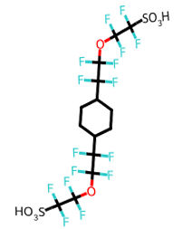 O=S(=O)(O)C(F)(F)C(F)(F)OC(F)(F)C(F)(F)C1CCC(C(F)(F)C(F)(F)OC(F)(F)C(F)(F)S(=O)(=O)O)CC1